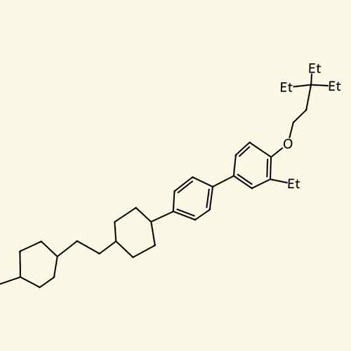 CCc1cc(-c2ccc(C3CCC(CCC4CCC(C)CC4)CC3)cc2)ccc1OCCC(CC)(CC)CC